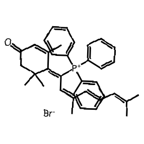 CC(C)=CC=CC(C)=CC(=C1C(C)=CC(=O)CC1(C)C)[P+](c1ccccc1)(c1ccccc1)c1ccccc1.[Br-]